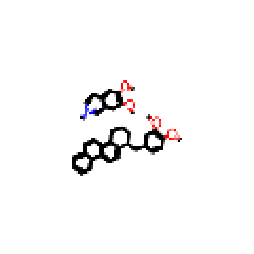 COc1cc2cc[n+](C)cc2cc1OC.COc1ccc(CC2CCCc3c2ccc2c3ccc3ccccc32)cc1OC